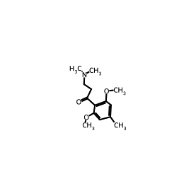 COc1cc(C)cc(OC)c1C(=O)CCN(C)C